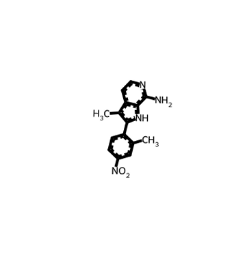 Cc1cc([N+](=O)[O-])ccc1-c1[nH]c2c(N)nccc2c1C